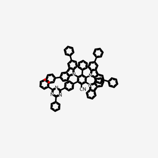 N#Cc1c(-c2ccc(-c3nc(-c4ccccc4)nc(-c4ccccc4)n3)cc2)c(-n2c3ccc(-c4ccccc4)cc3c3cc(-c4ccccc4)ccc32)c(-c2ccccc2)c(-n2c3ccc(-c4ccccc4)cc3c3cc(-c4ccccc4)ccc32)c1-n1c2ccccc2c2ccccc21